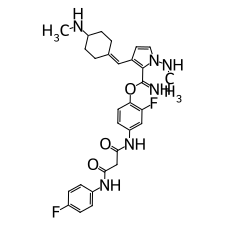 CNC1CCC(=Cc2ccn(NC)c2C(=N)Oc2ccc(NC(=O)CC(=O)Nc3ccc(F)cc3)cc2F)CC1